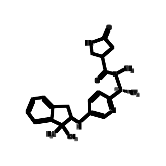 CN(C(=O)C1CNC(=O)C1)[C@@H](c1ccc(NC2Cc3ccccc3C2(C)C)cn1)C(F)(F)F